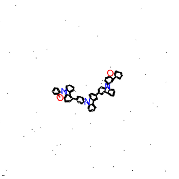 c1ccc2c(c1)Oc1ccc(-c3ccc(-n4c5ccccc5c5cc(-c6ccc7c(c6)c6ccccc6n7-c6ccc7oc8ccccc8c7c6)ccc54)cc3)c3c4ccccc4n-2c13